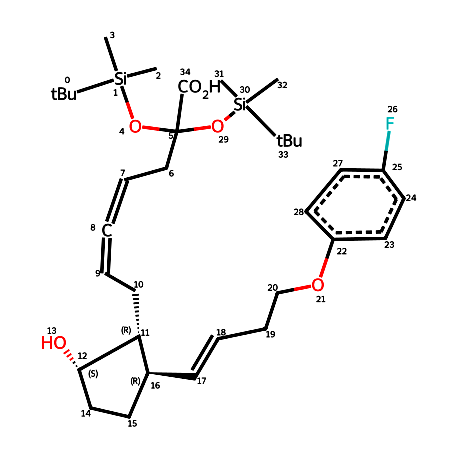 CC(C)(C)[Si](C)(C)OC(CC=C=CC[C@H]1[C@@H](O)CC[C@@H]1C=CCCOc1ccc(F)cc1)(O[Si](C)(C)C(C)(C)C)C(=O)O